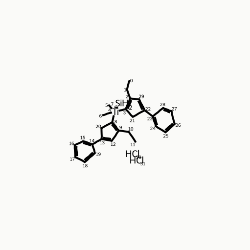 CCC1=[C]([Ti]([CH3])([CH3])(=[SiH2])[C]2=C(CC)C=C(c3ccccc3)C2)CC(c2ccccc2)=C1.Cl.Cl